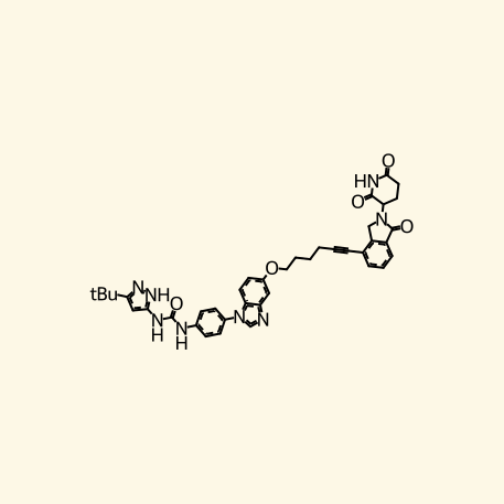 CC(C)(C)c1cc(NC(=O)Nc2ccc(-n3cnc4cc(OCCCCC#Cc5cccc6c5CN(C5CCC(=O)NC5=O)C6=O)ccc43)cc2)[nH]n1